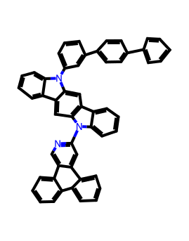 c1ccc(-c2ccc(-c3cccc(-n4c5ccccc5c5cc6c(cc54)c4ccccc4n6-c4cc5c6ccccc6c6ccccc6c5cn4)c3)cc2)cc1